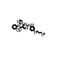 CN(C)CCCN(C)c1ccc(Nc2ncc3c(=O)n(-c4ccccc4Cl)c4nccn4c3n2)cc1